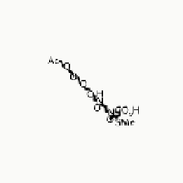 CSC(CC(=O)O)C(=O)NCCC(=O)NCCOCCOCCOCCOCCC(C)=O